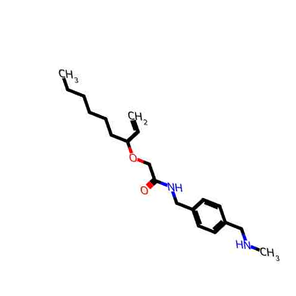 C=CC(CCCCCC)OCC(=O)NCc1ccc(CNC)cc1